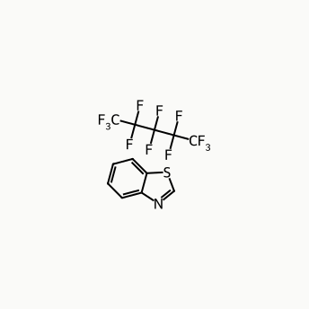 FC(F)(F)C(F)(F)C(F)(F)C(F)(F)C(F)(F)F.c1ccc2scnc2c1